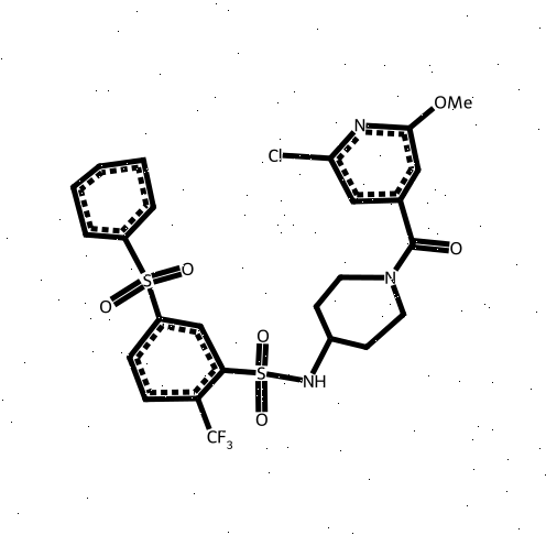 COc1cc(C(=O)N2CCC(NS(=O)(=O)c3cc(S(=O)(=O)c4ccccc4)ccc3C(F)(F)F)CC2)cc(Cl)n1